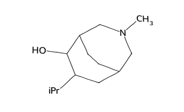 CC(C)C1CC2CCC(CN(C)C2)C1O